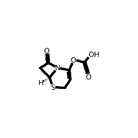 O=C(O)OC1=CCS[C@H]2CC(=O)N12